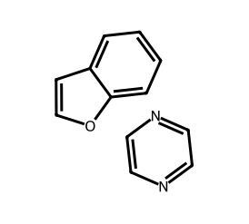 c1ccc2occc2c1.c1cnccn1